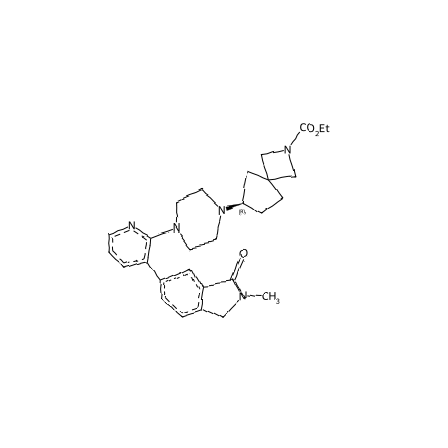 CCOC(=O)N1CC2(CC[C@@H](N3CCN(c4ncccc4-c4ccc5c(c4)C(=O)N(C)C5)CC3)C2)C1